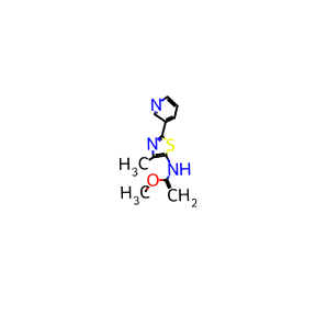 C=C(Nc1sc(-c2cccnc2)nc1C)OC